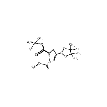 COC(=O)[C@H]1C=C(B2OC(C)(C)C(C)(C)O2)CN1C(=O)OC(C)(C)C